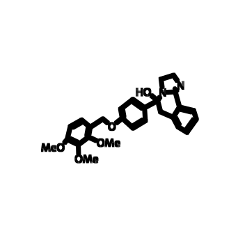 COc1ccc(COc2ccc(C3(O)Cc4ccccc4C4=NCCN43)cc2)c(OC)c1OC